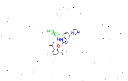 CC(C)c1cccc(C(C)C)c1OCc1nc2cc(-n3ccnc3)ccc2[nH]1.Cl.Cl